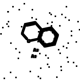 C1=Cc2ccccc2OC1.[Au].[Au]